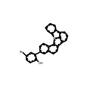 Oc1ccc(Br)cc1-c1ccc2c(ccc3c4cccc5c6ccccc6n(c23)c54)c1